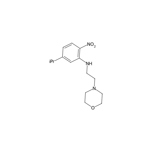 CC(C)c1ccc([N+](=O)[O-])c(NCCN2CCOCC2)c1